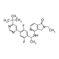 CCN1Cc2c(ccnc2NC(C)c2cc(F)c(-c3cc(C(C)(C)C)ncn3)cc2F)C1=O